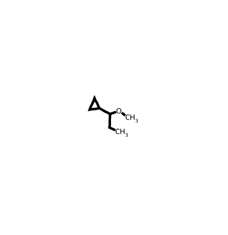 CCC(OC)C1CC1